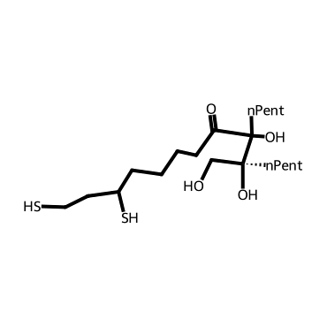 CCCCCC(O)(C(=O)CCCCC(S)CCS)[C@@](O)(CO)CCCCC